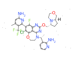 Cc1cc(N)nc(-c2c(Cl)c3c4c(nc(OC[C@H]5CC[C@@H]6COCCN65)nc4c2F)N([C@H](C)c2cccnc2N)CCO3)c1C(F)(F)F